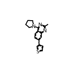 Cc1nc(N2CCCC2)c2ccc(-c3ccsc3)cc2n1